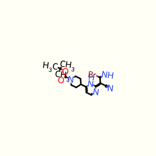 CC(C)(C)OC(=O)N1CCC(C2=CC=N/C(=C(\C#N)C(=N)Br)N2)CC1